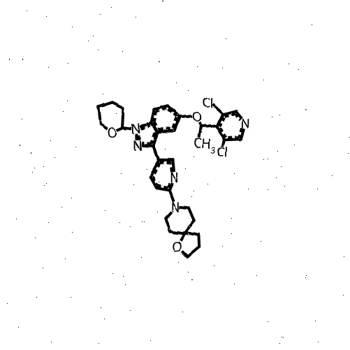 CC(Oc1ccc2c(c1)c(-c1ccc(N3CCC4(CCCO4)CC3)nc1)nn2C1CCCCO1)c1c(Cl)cncc1Cl